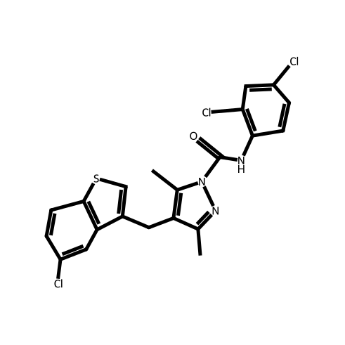 Cc1nn(C(=O)Nc2ccc(Cl)cc2Cl)c(C)c1Cc1csc2ccc(Cl)cc12